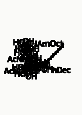 CCCCCCCC/C=C\CCCCCCCCCCCCCC(=O)N[C@@H](CO[C@@H]1OC(CO)[C@@H](O[C@@H]2OC(CO)[C@H](O[C@@H]3OC(CO)[C@H](O)[C@H](O[C@@H]4OC(CO)[C@H](O[C@@H]5OC(CO)[C@H](O)[C@H](O)C5NC(C)=O)[C@H](O)C4O)C3NC(C)=O)[C@H](O[C@]3(C(=O)O)CC(O)[C@@H](NC(C)=O)C([C@H](O)[C@H](O)CO)O3)C2O)[C@H](O)C1O)[C@H](O)/C=C/CCCCCCCCCCCCC